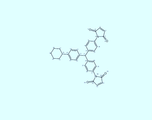 O=C1C=CC(=O)N1c1ccc(C(c2ccc(C3CCCCC3)cc2)c2ccc(N3C(=O)C=CC3=O)cc2)cc1